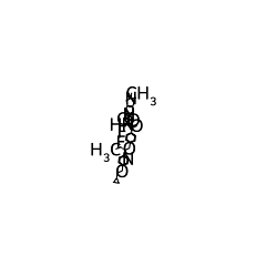 CC[C@@H](Oc1ccc(C(=O)NS(=O)(=O)N2CC3=C(CN(C)C3)C2)c(F)c1F)c1ccc(OCC2CC2)cn1